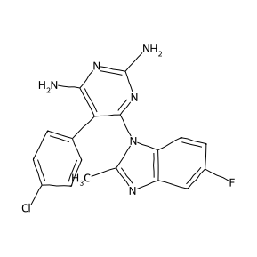 Cc1nc2cc(F)ccc2n1-c1nc(N)nc(N)c1-c1ccc(Cl)cc1